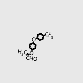 C[C@H](C=O)Oc1ccc(Oc2ccc(C(F)(F)F)cc2)cc1